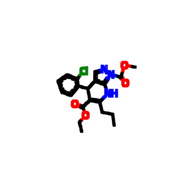 CCCC1=C(C(=O)OCC)C(c2ccccc2Cl)c2cnn(C(=O)OC)c2N1